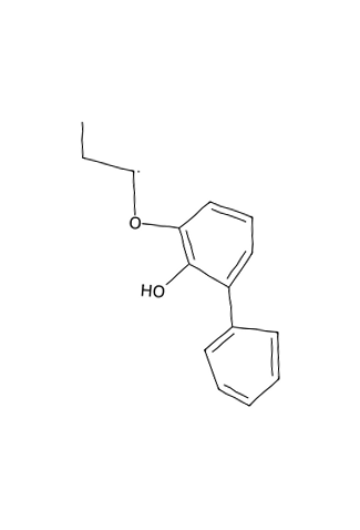 CC[CH]Oc1cccc(-c2ccccc2)c1O